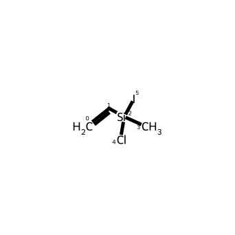 C=C[Si](C)(Cl)I